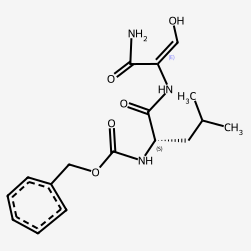 CC(C)C[C@H](NC(=O)OCc1ccccc1)C(=O)N/C(=C/O)C(N)=O